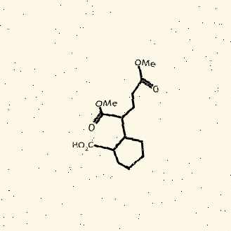 COC(=O)CCC(C(=O)OC)C1CCCCC1C(=O)O